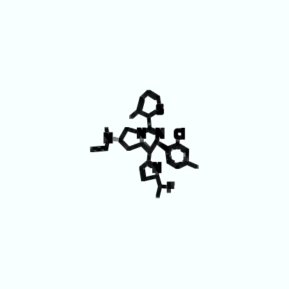 C=CN(C)[C@H]1CC2=C(C3=NC(C(C)F)C=C3)[C@H](c3ccc(C)cc3Cl)N=C(C3SC=CC=C3C)N2C1